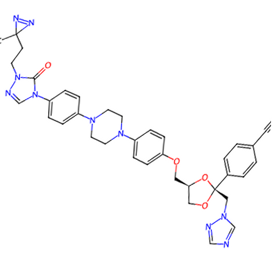 C#Cc1ccc([C@]2(Cn3cncn3)OC[C@@H](COc3ccc(N4CCN(c5ccc(-n6cnn(CCC7(C)N=N7)c6=O)cc5)CC4)cc3)O2)cc1